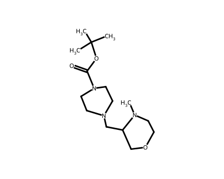 CN1CCOCC1CN1CCN(C(=O)OC(C)(C)C)CC1